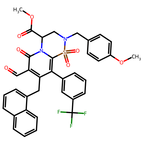 COC(=O)C1CN(Cc2ccc(OC)cc2)S(=O)(=O)c2c(-c3cccc(C(F)(F)F)c3)c(Cc3cccc4ccccc34)c(C=O)c(=O)n21